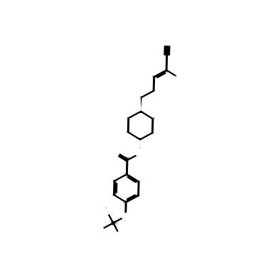 N#C/C(F)=C/CC[C@H]1CC[C@H](OC(=O)c2ccc(OC(F)(F)F)cc2)CC1